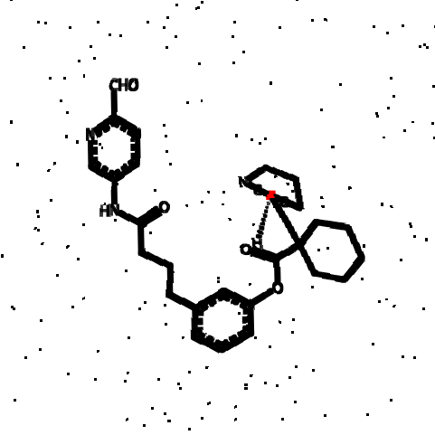 O=Cc1ccc(NC(=O)CCCc2cccc(OC(=O)C3([C@@H]4CN5CCC4CC5)CCCCC3)c2)cn1